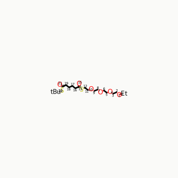 CCOCCOCCOCCOCCSC(=O)CCCCC(=O)SC(C)(C)C